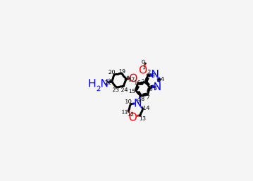 COc1ncnc2cc(N3CCOCC3)cc(OC3CCC(N)CC3)c12